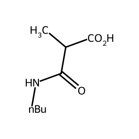 CCCCNC(=O)C(C)C(=O)O